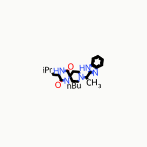 CCCCN1C(=O)C(CC(C)C)NC(=O)C12CCN(C(C)c1nc3ccccc3[nH]1)CC2